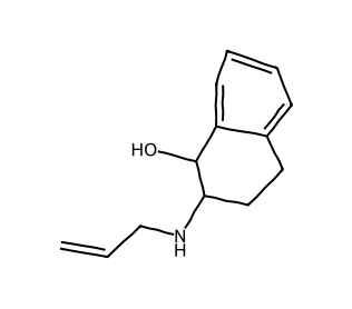 C=CCNC1CCc2ccccc2C1O